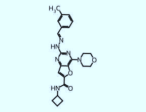 Cc1cccc(/C=N/Nc2nc(N3CCOCC3)c3oc(C(=O)NC4CCC4)cc3n2)c1